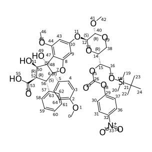 COc1ccc([C@@]23Oc4cc(O[C@@H]5O[C@@H](C(CO[Si](C)(C)C(C)(C)C)OC(=O)Oc6ccc([N+](=O)[O-])cc6)CO[C@H]5OC)cc(OC)c4[C@]2(O)[C@H](O)[C@H](C(=O)O)[C@H]3c2ccccc2)cc1